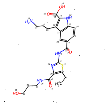 CCc1sc(NC(=O)c2ccc3[nH]c(C(=O)O)c(CCCN)c3c2)nc1C(=O)NCCCO